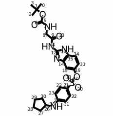 CC(C)(C)OC(=O)NCC(=O)Nc1nc2cc(OS(=O)(=O)c3ccc(NC4CCCC4)cc3)ccc2[nH]1